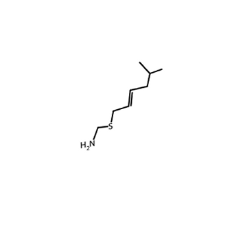 CC(C)CC=CCSCN